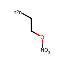 C[CH]CCCO[N+](=O)[O-]